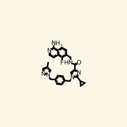 Cc1cnn(Cc2ccc(Cn3cc(C(=O)NCc4ccc5c(N)nccc5c4F)nc3C3CC3)cc2)c1